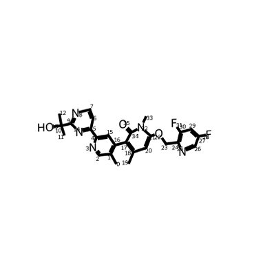 Cc1cnc(-c2ccnc(C(C)(C)O)n2)cc1-c1c(C)cc(OCc2ncc(F)cc2F)n(C)c1=O